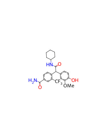 COc1cc(C(C(=O)NC2CCCCC2)c2ccc(C(N)=O)cc2C(F)(F)F)ccc1O